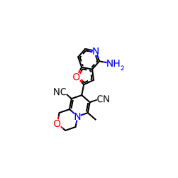 CC1=C(C#N)C(c2cc3c(N)nccc3o2)C(C#N)=C2COCCN12